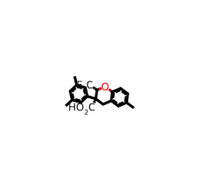 Cc1cc(C)cc(C2(C(=O)O)Cc3cc(C)ccc3OC2C(F)(F)F)c1